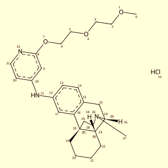 COCCOCCOc1cc(Nc2ccc3c(c2)[C@@]24CCCC[C@H]2[C@@H](C3)N(C)CC4)ccn1.Cl